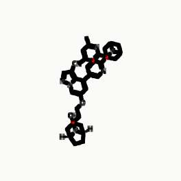 Cc1cc(C)nc(CN2C3CC2CN(c2ccc(-c4cc(OCCCN5[C@@H]6CC[C@H]5C[C@@H](O)C6)cn5ncc(C#N)c45)cn2)C3)n1